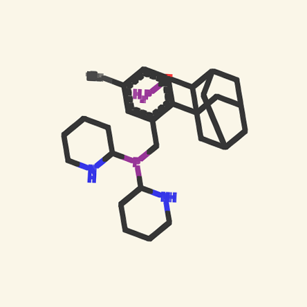 CC(C)(C)c1ccc(C23CC4CC(CC(C4)C2CP)C3)c(CP(C2CCCCN2)C2CCCCN2)c1